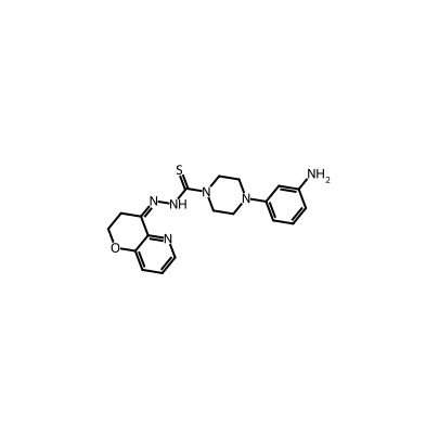 Nc1cccc(N2CCN(C(=S)N/N=C3/CCOc4cccnc43)CC2)c1